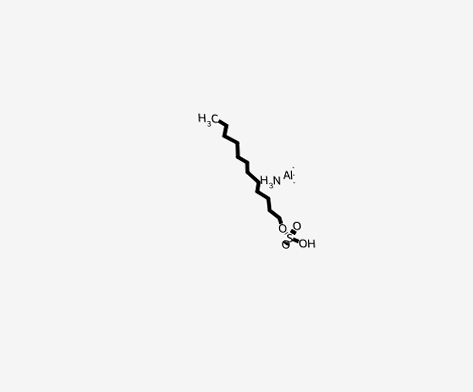 CCCCCCCCCCCCOS(=O)(=O)O.N.[Al]